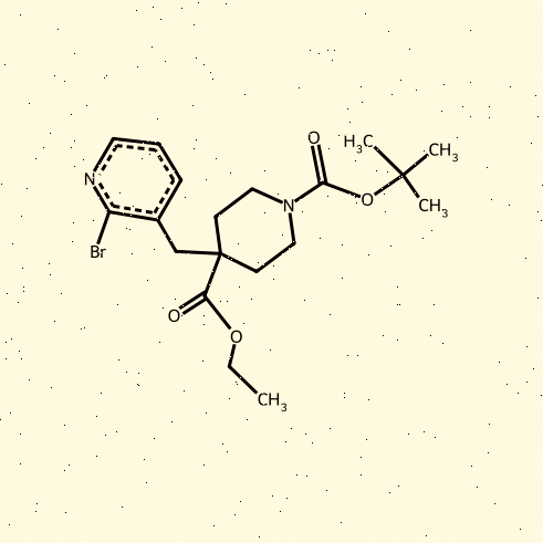 CCOC(=O)C1(Cc2cccnc2Br)CCN(C(=O)OC(C)(C)C)CC1